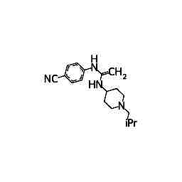 C=C(Nc1ccc(C#N)cc1)NC1CCN(CC(C)C)CC1